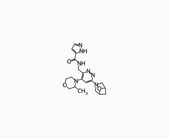 CC1COCCN1c1cc(N2CC3CC(C2)O3)nnc1CNC(=O)c1ccn[nH]1